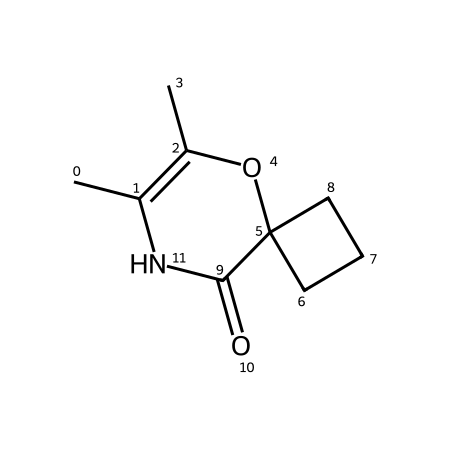 CC1=C(C)OC2(CCC2)C(=O)N1